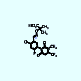 CCOC(=O)C(C)(C)O/N=C/c1cc(-n2c(=O)cc(C(F)(F)F)n(C)c2=O)c(F)cc1Cl